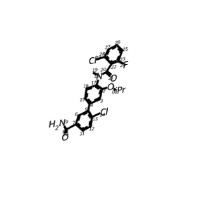 CC(C)Oc1cc(-c2cc(C(N)=O)ccc2Cl)ccc1N(C)C(=O)c1c(F)cccc1Cl